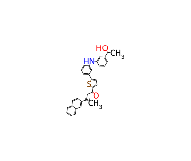 CC(O)c1cccc(Nc2cccc(-c3ccc(C(=O)C[C@H](C)c4ccc5ccccc5c4)s3)c2)c1